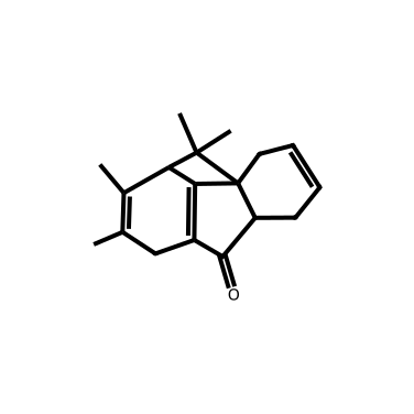 CC1=C(C)C2C3=C(C1)C(=O)C1CC=CCC31C2(C)C